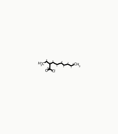 CCCCCCCC(CC)C(=O)Cl